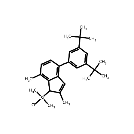 CC1=Cc2c(-c3cc(C(C)(C)C)cc(C(C)(C)C)c3)ccc(C)c2C1[Si](C)(C)Cl